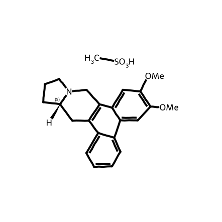 COc1cc2c3c(c4ccccc4c2cc1OC)C[C@@H]1CCCN1C3.CS(=O)(=O)O